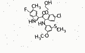 COc1cc(NC(C(=O)c2c[nH]c3cc(F)c(C)cc23)c2ccc(Cl)cc2OCCO)cc(SC)c1